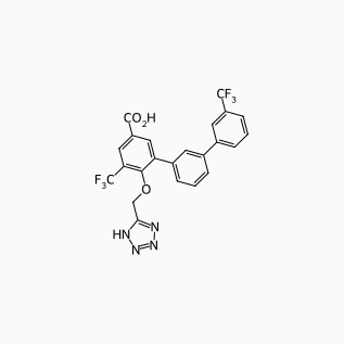 O=C(O)c1cc(-c2cccc(-c3cccc(C(F)(F)F)c3)c2)c(OCc2nnn[nH]2)c(C(F)(F)F)c1